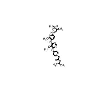 COc1c(Nc2ccc(NCC(C)S(C)(=O)=O)nc2C)ncnc1OC1CCN(OC(=O)OC(C)C)CC1